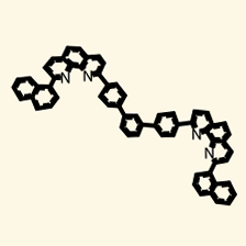 c1cc(-c2ccc(-c3ccc4ccc5ccc(-c6cccc7ccccc67)nc5c4n3)cc2)cc(-c2ccc(-c3ccc4ccc5ccc(-c6cccc7ccccc67)nc5c4n3)cc2)c1